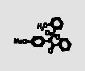 COc1ccc(N(C(=O)c2ccccc2)S(=O)(=O)c2ccccc2C)cc1